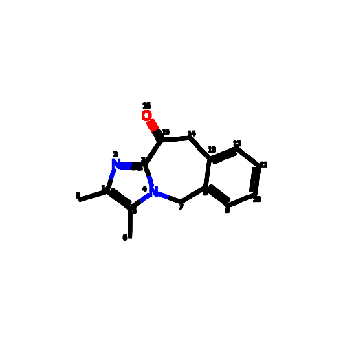 Cc1nc2n(c1C)Cc1ccccc1CC2=O